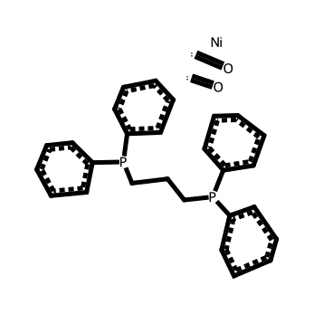 [C]=O.[C]=O.[Ni].c1ccc(P(CCCP(c2ccccc2)c2ccccc2)c2ccccc2)cc1